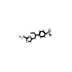 CCC(CC1COC(N)=N1)c1ccc([N+](=O)[O-])cc1